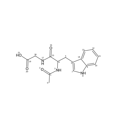 CC(=O)NC(Cc1c[nH]c2ccccc12)C(=O)NCC(=O)O